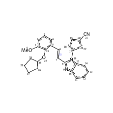 COc1cccc(/C=C/c2nc3ccccc3n2-c2ncc(C#N)s2)c1OC1CCCC1